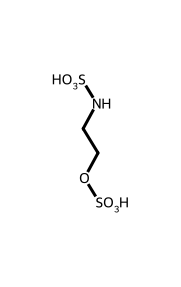 O=S(=O)(O)NCCOS(=O)(=O)O